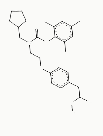 CCOC(Cc1ccc(OCCN(CC2CCCC2)C(=O)Oc2c(C)cc(C)cc2C)cc1)C(=O)O